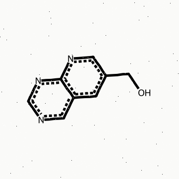 OCc1cnc2ncncc2c1